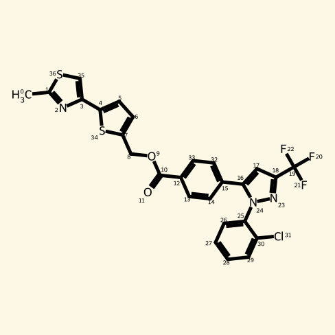 Cc1nc(-c2ccc(COC(=O)c3ccc(-c4cc(C(F)(F)F)nn4-c4ccccc4Cl)cc3)s2)cs1